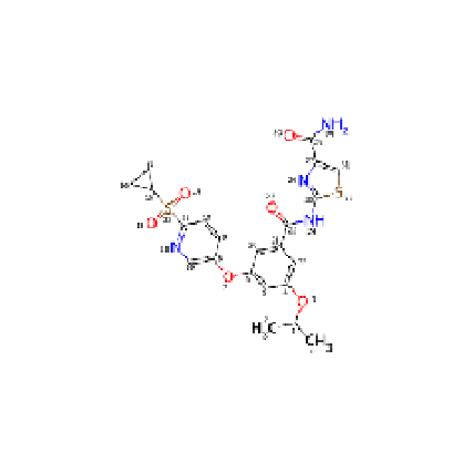 CC(C)Oc1cc(Oc2ccc(S(=O)(=O)C3CC3)nc2)cc(C(=O)Nc2nc(C(N)=O)cs2)c1